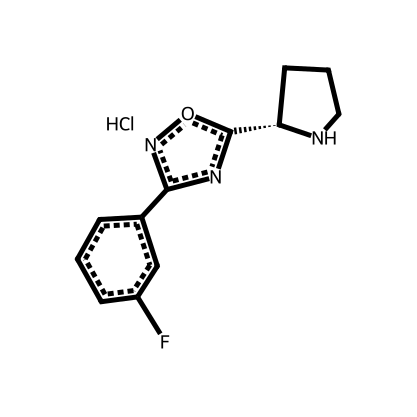 Cl.Fc1cccc(-c2noc([C@@H]3CCCN3)n2)c1